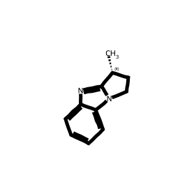 C[C@@H]1CCn2c1nc1ccccc12